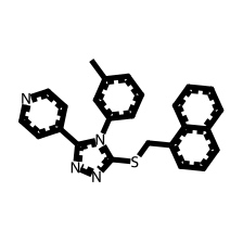 Cc1cccc(-n2c(SCc3cccc4ccccc34)nnc2-c2ccncc2)c1